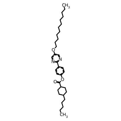 CCCCCCCCCCCCOc1cnc(-c2ccc(OC(=O)C3CCC(CCCCC)CC3)cc2)nc1